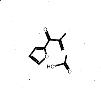 C=C(C)C(=O)c1ccco1.CC(=O)O